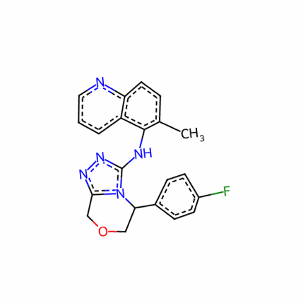 Cc1ccc2ncccc2c1Nc1nnc2n1C(c1ccc(F)cc1)COC2